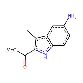 COC(=O)c1[nH]c2ccc(N)cc2c1C